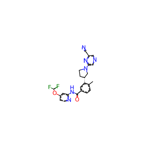 Cc1ccc(C(=O)Nc2cc(OC(F)F)ccn2)cc1[C@@H]1CCN(c2cncc(C#N)n2)C1